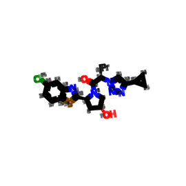 CC(C)[C@@H](C(=O)N1C[C@H](O)C[C@H]1c1nc2cc(Cl)ccc2s1)n1cc(C2CC2)nn1